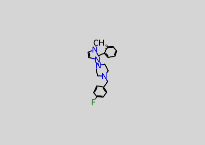 CN1C=CN(N2CCN(Cc3ccc(F)cc3)CC2)C1c1ccccc1